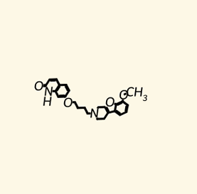 COc1cccc2c3c(oc12)CN(CCCCOc1ccc2ccc(=O)[nH]c2c1)CC3